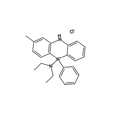 CCN(CC)[N+]1(c2ccccc2)c2ccccc2Nc2cc(C)ccc21.[Cl-]